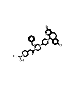 CB(O)N1CCC(CC(=O)N2CCN(C3CCN(C4c5ccc(Cl)cc5CCc5cc(Br)cnc54)CC3)C[C@@H]2Cc2ccccc2)CC1